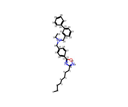 CCCCCCCCc1noc(-c2ccc(C[N+](CC)Cc3cccc(-c4ccccc4)c3)cc2)n1